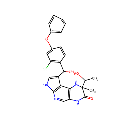 CC(O)C1(C)Nc2c(cnc3[nH]cc(C(O)c4ccc(Oc5ccccc5)cc4Cl)c23)NC1=O